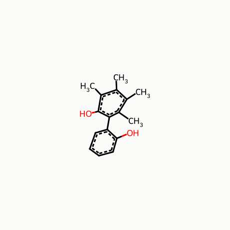 Cc1c(C)c(C)c(-c2ccccc2O)c(O)c1C